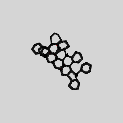 c1ccc(-n2c3ccccc3c3cccc(-c4ccccc4N(c4ccccc4-c4cccc5c4oc4ccccc45)c4ccccc4-c4cccc5cccc(C6CCCCC6)c45)c32)cc1